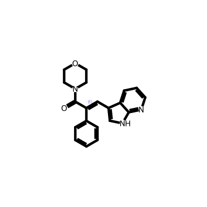 O=C(/C(=C/c1c[nH]c2ncccc12)c1ccccc1)N1CCOCC1